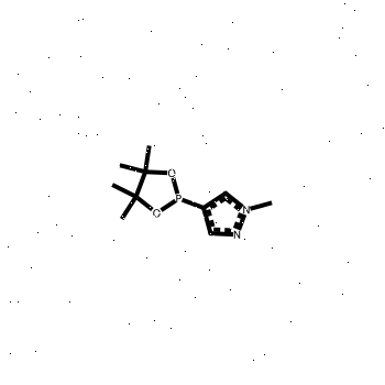 Cn1cc(P2OC(C)(C)C(C)(C)O2)cn1